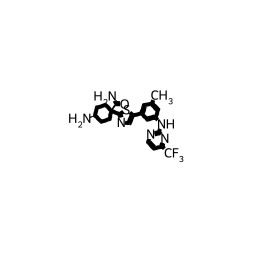 Cc1cc(Nc2nccc(C(F)(F)F)n2)cc(-c2cnc([C@]3(C(N)=O)CC[C@H](N)CC3)s2)c1